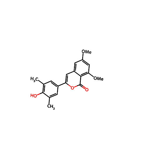 COc1cc(OC)c2c(=O)oc(-c3cc(C)c(O)c(C)c3)cc2c1